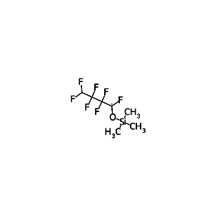 C[Si](C)(C)O[C](F)C(F)(F)C(F)(F)C(F)F